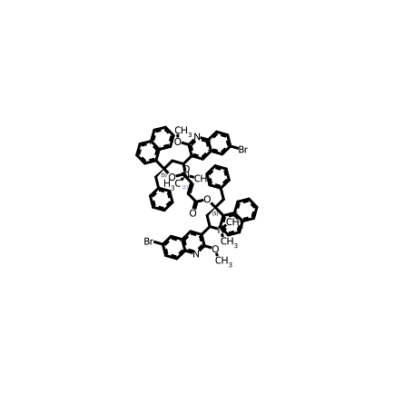 COc1nc2ccc(Br)cc2cc1C(C[C@](Cc1ccccc1)(OC(=O)/C=C/C(=O)O[C@@](Cc1ccccc1)(CC(c1cc2cc(Br)ccc2nc1OC)N(C)C)c1cccc2ccccc12)c1cccc2ccccc12)N(C)C